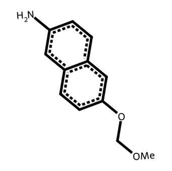 COCOc1ccc2cc(N)ccc2c1